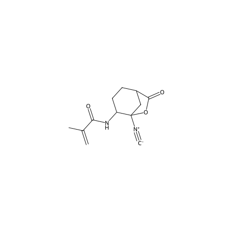 [C-]#[N+]C12CC(CCC1NC(=O)C(=C)C)C(=O)O2